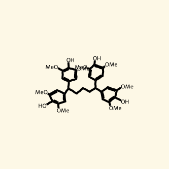 COc1cc(C(CCCC(c2cc(OC)c(O)c(OC)c2)c2cc(OC)c(O)c(OC)c2)c2cc(OC)c(O)c(OC)c2)cc(OC)c1O